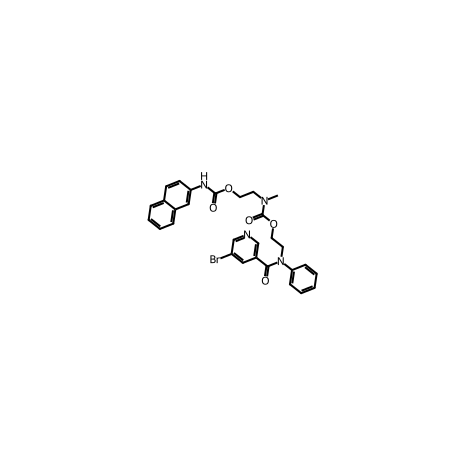 CN(CCOC(=O)Nc1ccc2ccccc2c1)C(=O)OCCN(C(=O)c1cncc(Br)c1)c1ccccc1